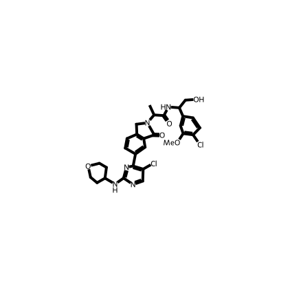 COc1cc(C(CO)NC(=O)C(C)N2Cc3ccc(-c4nc(NC5CCOCC5)ncc4Cl)cc3C2=O)ccc1Cl